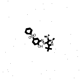 CN(C)c1c(N=Nc2cc(S(=O)(=O)c3ccccc3)ccc2O)c(C(C)(C)C)nn1C